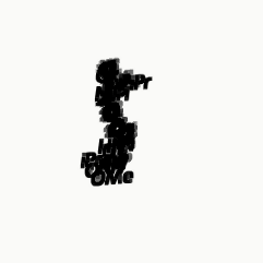 COC(=O)N[C@H](C(=O)N1CCC[C@H]1c1nc2ccc3cc(-c4ccc(-c5cnc([C@@H]6C[C@]7(CCCCO7)CN6C(=O)[C@@H](C)C(C)C)[nH]5)cc4)ccc3c2[nH]1)C(C)C